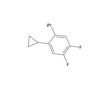 CC(C)c1cc(F)c(F)cc1C1CC1